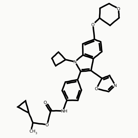 CC(OC(=O)Nc1ccc(-c2c(-c3cnco3)c3ccc(OC4CCOCC4)cc3n2C2CCC2)cc1)C1CC1